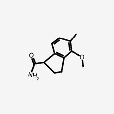 COc1c(C)ccc2c1CCC2C(N)=O